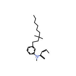 C=C(/C=C\C)N(C)c1cccc(CCC(C)(C)CCCCCC)c1